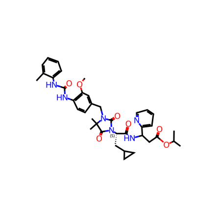 COc1cc(CN2C(=O)N([C@@H](CC3CC3)C(=O)NC(CC(=O)OC(C)C)c3ccccn3)C(=O)C2(C)C)ccc1NC(=O)Nc1ccccc1C